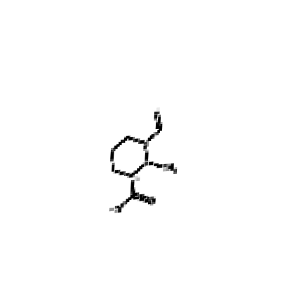 CC1[C@@H](C(=O)O)CCCN1C=O